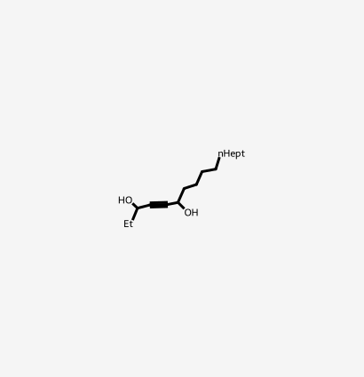 CCCCCCCCCCCC(O)C#CC(O)CC